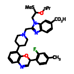 CCCOC(Cn1c(CN2CCC(c3cccc4c3OC(c3ccc(C)cc3F)C=N4)CC2)nc2ccc(C(=O)O)cc21)SC